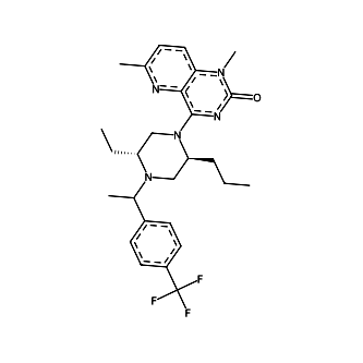 CCC[C@H]1CN(C(C)c2ccc(C(F)(F)F)cc2)[C@H](CC)CN1c1nc(=O)n(C)c2ccc(C)nc12